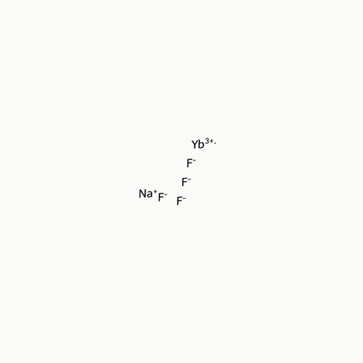 [F-].[F-].[F-].[F-].[Na+].[Yb+3]